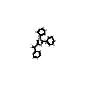 O=C(c1ccccc1)c1cn(-c2ccccc2)c(-c2ccccc2)n1